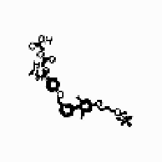 CNOB(OCC(=O)OCC(=O)O)c1ccc(OCc2cccc(-c3c(C)cc(OCCCO[Si](C)(C)C(C)(C)C)cc3C)c2)cc1